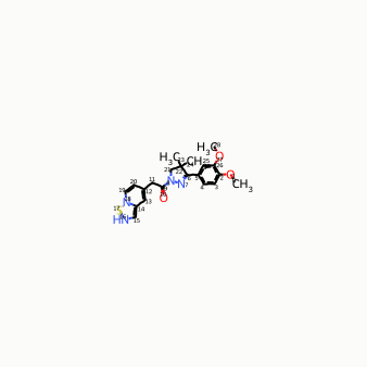 COc1ccc(C2=NN(C(=O)CC3=CC4=CNSN4C=C3)CC2(C)C)cc1OC